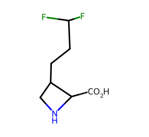 O=C(O)C1NCC1CCC(F)F